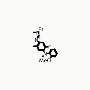 CCN(C)/C=N/c1cc(F)c(N(C)c2ccccc2OC)cc1C